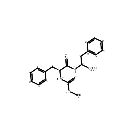 CC(C)(C)OC(=O)N[C@@H](Cc1ccccc1)C(=O)NC(Cc1ccccc1)C(=O)O